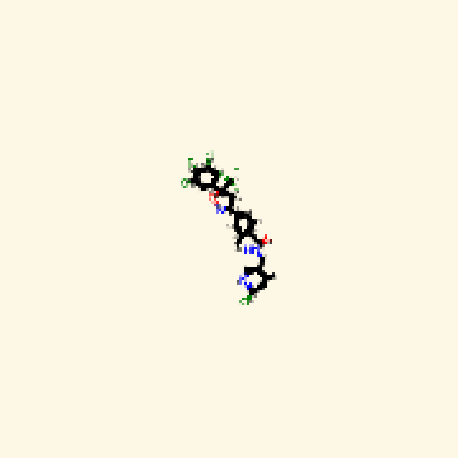 Cc1cc(Cl)ncc1CNC(=O)c1ccc(C2=NOC(c3cc(Cl)c(F)c(Cl)c3)(C(F)(F)F)C2)cc1C